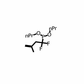 C=C(C)CC(F)(F)P(OCCC)OCCC